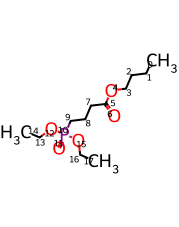 CCCCOC(=O)CCCP(=O)(OCC)OCC